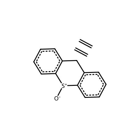 C=C.C=C.[O-][S+]1c2ccccc2Cc2ccccc21